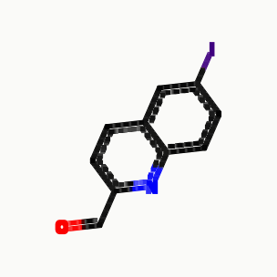 O=Cc1ccc2cc(I)ccc2n1